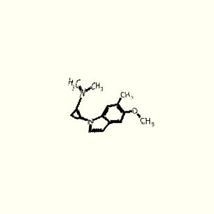 COc1cc2ccn(C3CC3N(C)C)c2cc1C